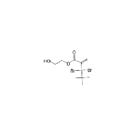 C=C(C(=O)OCCO)C(Br)(Br)C(C)(C)C